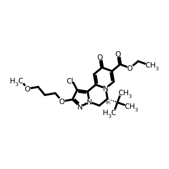 CCOC(=O)c1cn2c(cc1=O)-c1c(Cl)c(OCCCOC)nn1C[C@H]2C(C)(C)C